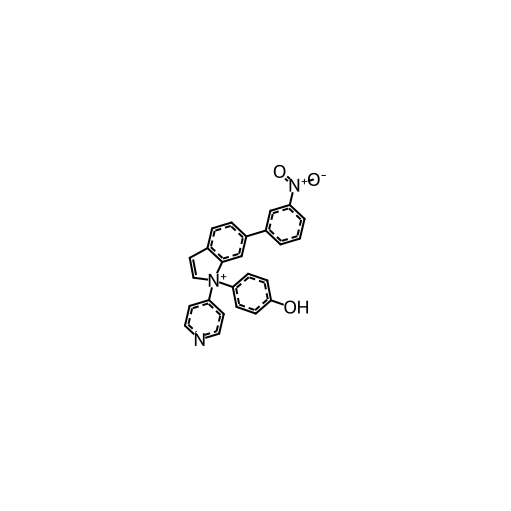 O=[N+]([O-])c1cccc(-c2ccc3c(c2)[N+](c2ccncc2)(c2ccc(O)cc2)C=C3)c1